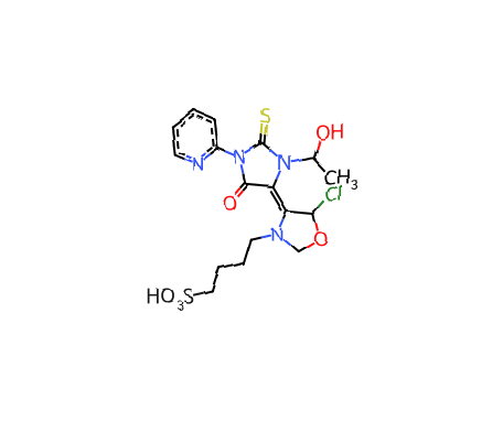 CC(O)N1C(=S)N(c2ccccn2)C(=O)C1=C1C(Cl)OCN1CCCCS(=O)(=O)O